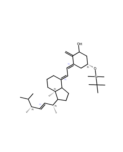 C=C1/C(=C/C=C2\CCC[C@@]3(C)C2CCC3[C@H](C)/C=C/[C@H](C)C(C)C)C[C@@H](O[Si](C)(C)C(C)(C)C)CC1O